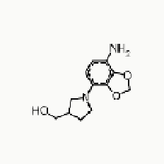 Nc1ccc(N2CCC(CO)C2)c2c1OCO2